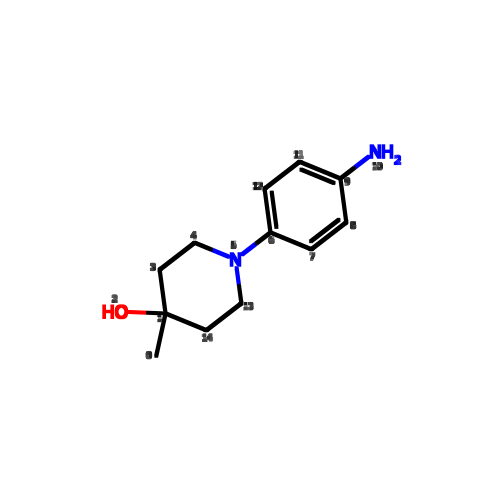 CC1(O)CCN(c2ccc(N)cc2)CC1